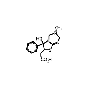 CN1CN=C2SC(CC(=O)O)C(O)(c3ccccc3)N2C1